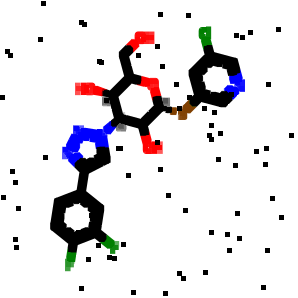 OCC1O[C@H](Sc2cncc(Cl)c2)C(O)[C@@H](n2cc(-c3ccc(F)c(F)c3)nn2)[C@H]1O